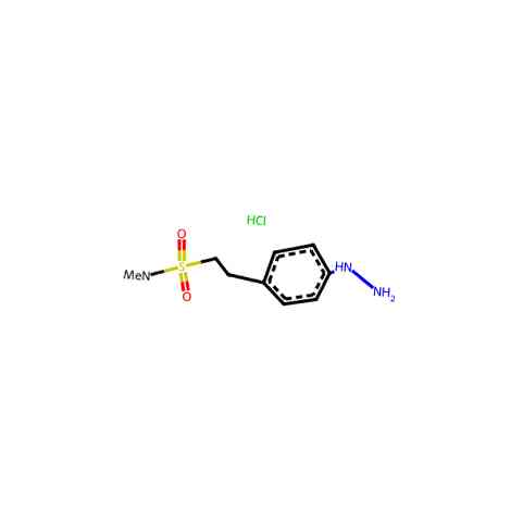 CNS(=O)(=O)CCc1ccc(NN)cc1.Cl